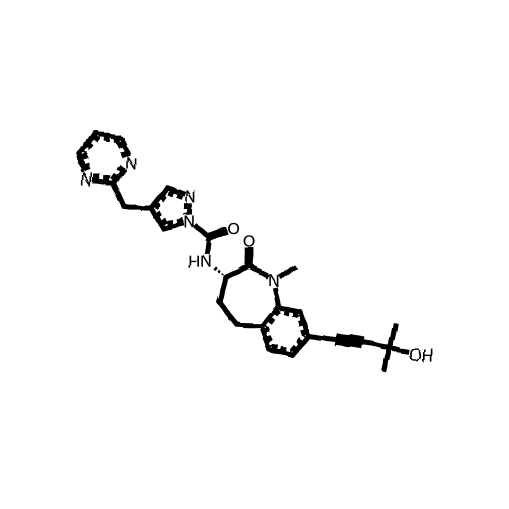 CN1C(=O)[C@@H](NC(=O)n2cc(Cc3ncccn3)cn2)CCc2ccc(C#CC(C)(C)O)cc21